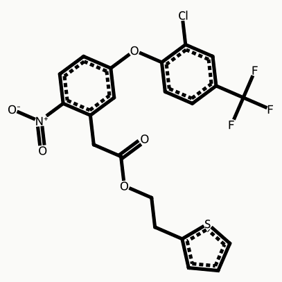 O=C(Cc1cc(Oc2ccc(C(F)(F)F)cc2Cl)ccc1[N+](=O)[O-])OCCc1cccs1